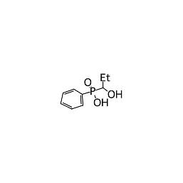 CCC(O)P(=O)(O)c1ccccc1